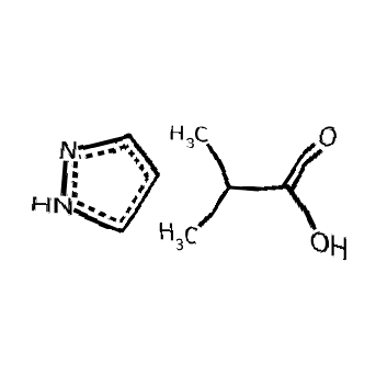 CC(C)C(=O)O.c1cn[nH]c1